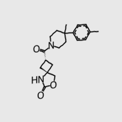 Cc1ccc(C2(C)CCN(C(=O)[C@H]3C[C@]4(COC(=O)N4)C3)CC2)cc1